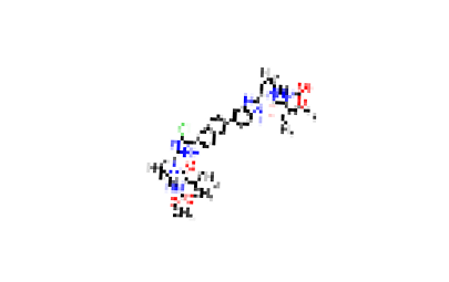 COC(=O)N[C@H](C(=O)N1[C@@H]2C[C@H]2C[C@H]1c1nc(Cl)c(-c2ccc3cc(-c4ccc5[nH]c([C@@H]6C[C@H]7C[C@H]7N6C(=O)[C@@H](NC(=O)O)C(C)C)nc5c4)ccc3c2)[nH]1)C(C)C